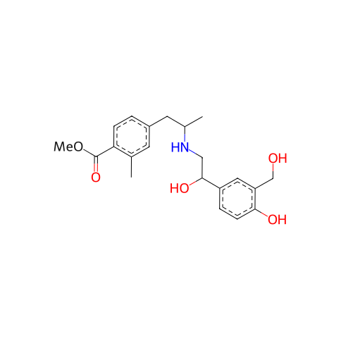 COC(=O)c1ccc(CC(C)NCC(O)c2ccc(O)c(CO)c2)cc1C